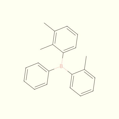 Cc1ccccc1B(c1ccccc1)c1cccc(C)c1C